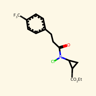 CCOC(=O)C1CC1N(Cl)C(=O)CCc1ccc(C(F)(F)F)cc1